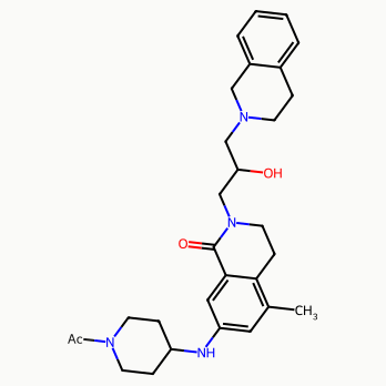 CC(=O)N1CCC(Nc2cc(C)c3c(c2)C(=O)N(CC(O)CN2CCc4ccccc4C2)CC3)CC1